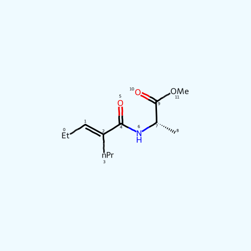 CC/C=C(\CCC)C(=O)N[C@@H](C)C(=O)OC